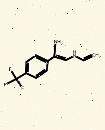 C=CN/C=C(\N)c1ccc(C(F)(F)F)cc1